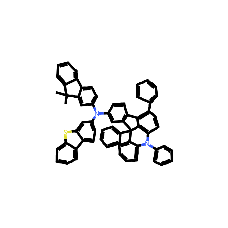 CC1(C)c2ccccc2-c2ccc(N(c3ccc4c(c3)C3(c5ccccc5)c5ccccc5N(c5ccccc5)c5ccc(-c6ccccc6)c-4c53)c3ccc4c(c3)sc3ccccc34)cc21